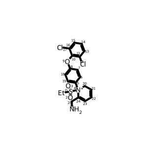 CCS(=O)(=O)[N+]1(c2ccc(Oc3c(Cl)cccc3Cl)cc2)CC=CC=C1CN